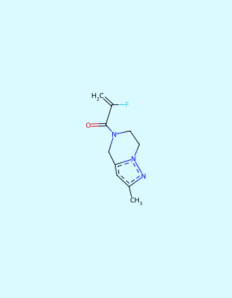 C=C(F)C(=O)N1CCn2nc(C)cc2C1